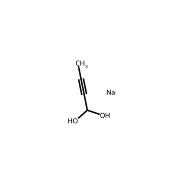 CC#CC(O)O.[Na]